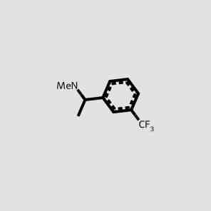 CNC(C)c1cccc(C(F)(F)F)c1